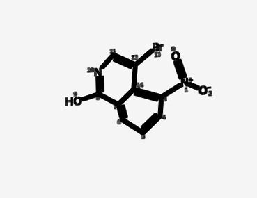 O=[N+]([O-])c1cccc2c(O)ncc(Br)c12